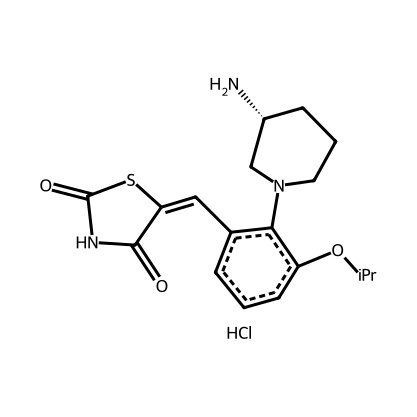 CC(C)Oc1cccc(C=C2SC(=O)NC2=O)c1N1CCC[C@@H](N)C1.Cl